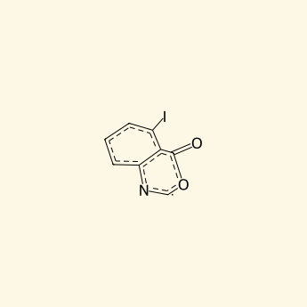 O=c1o[c]nc2cccc(I)c12